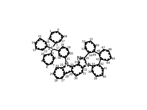 c1ccc(S(c2ccccc2)(c2ccccc2)c2cccc(-n3c4ccccc4c4ccc5c(nc6n5-c5ccccc5-c5ccccc5-c5ccccc5-6)c43)c2)cc1